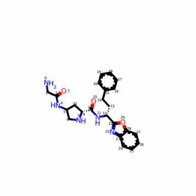 NCC(=O)NC1CN[C@@H](C(=O)N[C@H](CCc2ccccc2)c2nc3ccccc3o2)C1